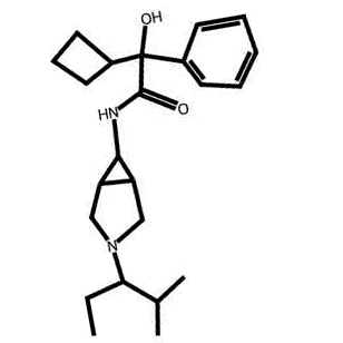 CCC(C(C)C)N1CC2C(C1)C2NC(=O)C(O)(c1ccccc1)C1CCC1